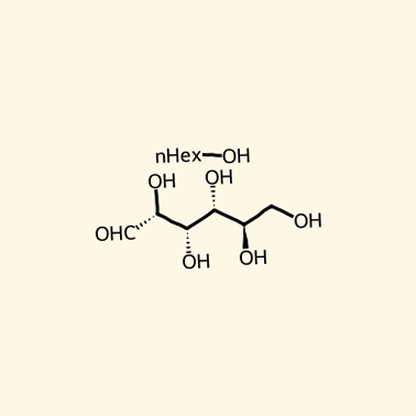 CCCCCCO.O=C[C@H](O)[C@@H](O)[C@H](O)[C@H](O)CO